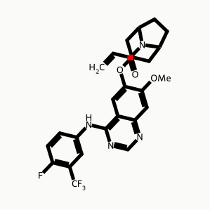 C=CC(=O)N1C2CCC1CC(Oc1cc3c(Nc4ccc(F)c(C(F)(F)F)c4)ncnc3cc1OC)C2